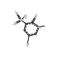 Cn1cc(Cl)cc(S(=O)(=O)Cl)c1=O